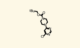 CC(C)(C)COC(=O)N1CCN(c2cc(Cl)ncn2)CC1